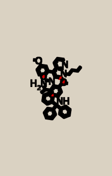 CCCCn1c(=O)c(N(C(N)=O)c2c(C(C)C)cc(NC(c3ccccc3)(c3ccccc3)c3ccccc3)cc2C(C)C)c(-c2cccc(OC)c2)c2cccnc21